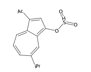 CC(=O)c1cc(O[SH](=O)=O)c2cc(C(C)C)cccc1-2